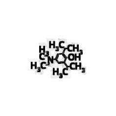 CCN(CC)c1cc(C(C)C)c(O)c(C(C)C)c1